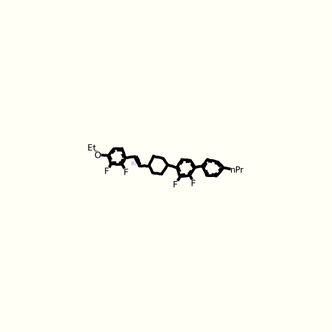 CCCc1ccc(-c2ccc(C3CCC(/C=C/c4ccc(OCC)c(F)c4F)CC3)c(F)c2F)cc1